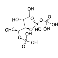 O=C[C@H](OP(=O)(O)O)[C@H](OP(=O)(O)OP(=O)(O)O)[C@H](O)CO